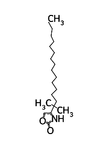 CCCCCCCCCCCCCCCC(C)(C)c1coc(=O)[nH]1